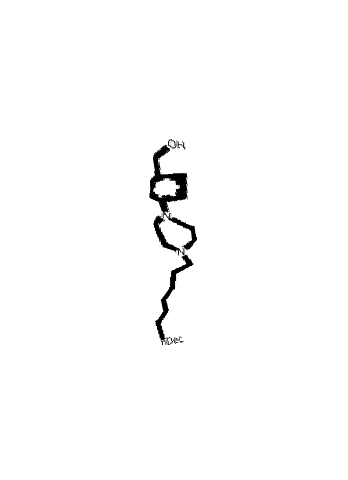 CCCCCCCCCCCCCCCCN1CCN(c2ccc(CO)cc2)CC1